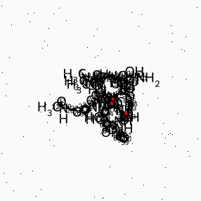 CN[C@H](CC(C)C)C(=O)N[C@H]1C(=O)N[C@@H](CC(=O)NC(=O)Nc2ccc(OCCCNC(C)=O)cc2)C(=O)N[C@H]2C(=O)N[C@H]3C(=O)N[C@H](C(=O)N[C@H](C(=O)NC4C5CC6CC(C5)CC4C6)c4cc(O)cc(O)c4-c4cc3ccc4O)[C@H](O)c3ccc(c(Cl)c3)Oc3cc2cc(c3O[C@@H]2O[C@H](CN)[C@@H](O)[C@H](O)[C@H]2O)Oc2ccc(cc2C)[C@H]1O